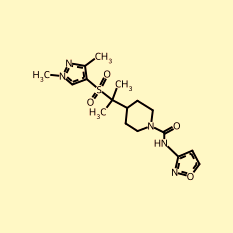 Cc1nn(C)cc1S(=O)(=O)C(C)(C)C1CCN(C(=O)Nc2ccon2)CC1